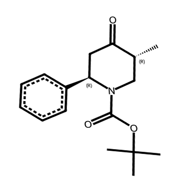 C[C@@H]1CN(C(=O)OC(C)(C)C)[C@@H](c2ccccc2)CC1=O